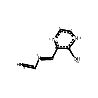 N=C/N=C/c1nccnc1O